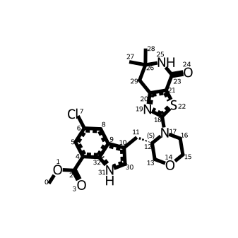 COC(=O)c1cc(Cl)cc2c(C[C@H]3COCCN3c3nc4c(s3)C(=O)NC(C)(C)C4)c[nH]c12